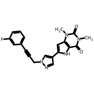 Cn1c(=O)c2[nH]c(-c3cnn(CC#Cc4cccc(F)c4)c3)cc2n(C)c1=O